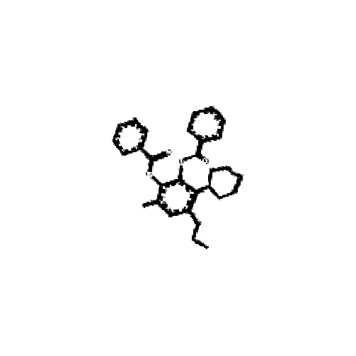 CCCc1cc(C)c(OC(=O)c2ccccc2)c(OC(=O)c2ccccc2)c1C1CCCCC1